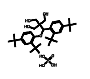 CC(C)(C)c1ccc(OC(c2ccc(C(C)(C)C)cc2C(C)(C)C)C(CO)(CO)CO)c(C(C)(C)C)c1.O=P(O)(O)O